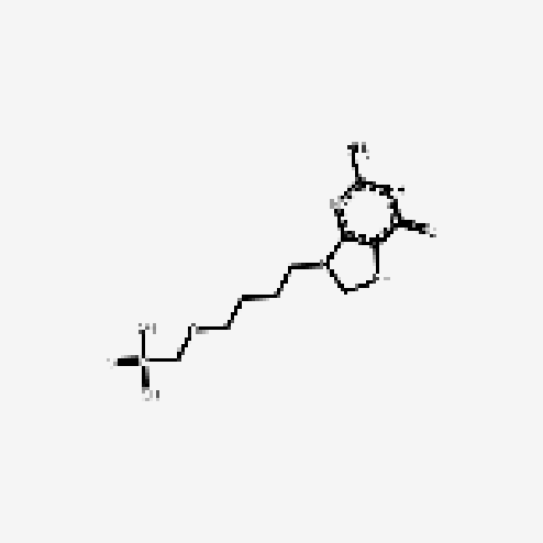 Nc1nc2c(c(=O)[nH]1)NCN2CCCCOCP(=O)(O)O